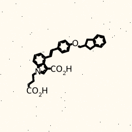 O=C(O)CCCn1cc(C(=O)O)c2c(C=Cc3ccc(OCC4Cc5ccccc5C4)cc3)cccc21